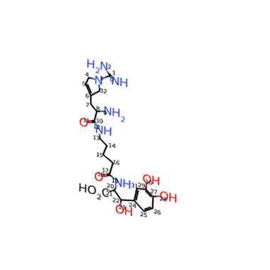 N=C(N)N1CC=C(CC(N)C(=O)NCCCCC(=O)NC(C(=O)O)C(O)c2ccc(O)c(O)c2)C1